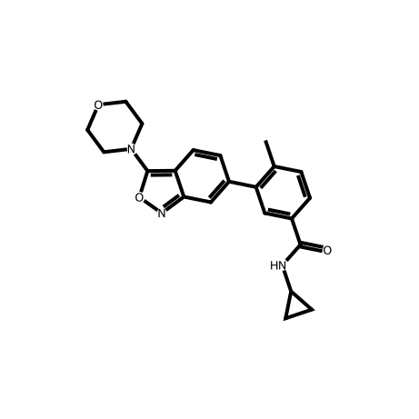 Cc1ccc(C(=O)NC2CC2)cc1-c1ccc2c(N3CCOCC3)onc2c1